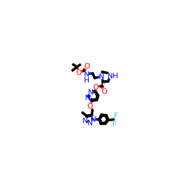 Cc1nnn(-c2ccc(C(F)F)cc2)c1COc1ccc(OC(=O)[C@@H]2CNCCN2CCNC(=O)OC(C)(C)C)nn1